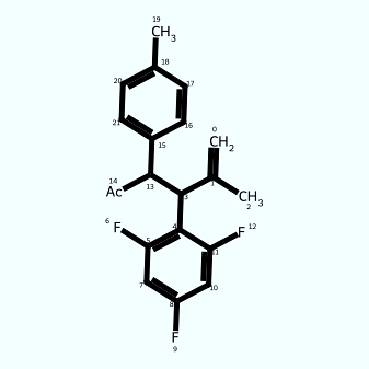 C=C(C)C(c1c(F)cc(F)cc1F)C(C(C)=O)c1ccc(C)cc1